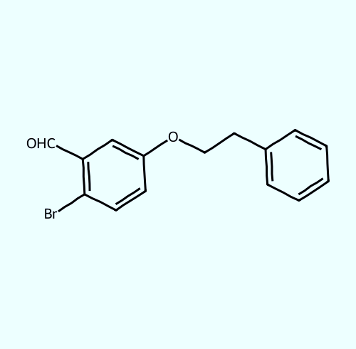 O=Cc1cc(OCCc2ccccc2)ccc1Br